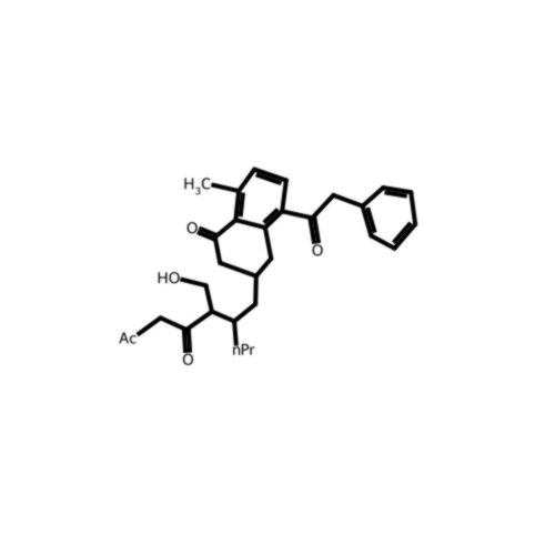 CCCC(CC1CC(=O)c2c(C)ccc(C(=O)Cc3ccccc3)c2C1)C(CO)C(=O)CC(C)=O